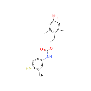 Bc1cc(C)c(CCOC(=O)Nc2ccc(S)c(C#N)c2)c(C)c1